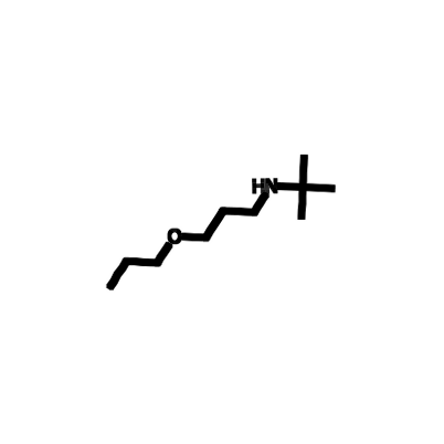 CCCOCCCNC(C)(C)C